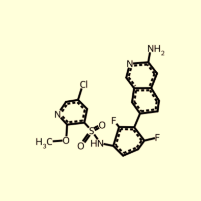 COc1ncc(Cl)cc1S(=O)(=O)Nc1ccc(F)c(-c2ccc3cc(N)ncc3c2)c1F